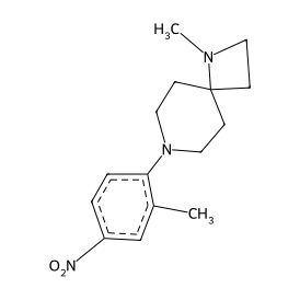 Cc1cc([N+](=O)[O-])ccc1N1CCC2(CC1)CCN2C